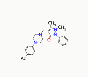 CC(=O)c1ccc(N2CCN(Cc3c(C)n(C)n(-c4ccccc4)c3=O)CC2)cc1